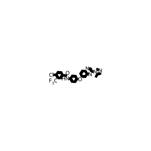 Cc1cncn1-c1cnc2ccc(Oc3ccc(NC(=O)c4ccc(Cl)c(C(F)(F)F)c4)cc3)cc2n1